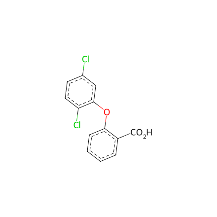 O=C(O)c1ccccc1Oc1cc(Cl)ccc1Cl